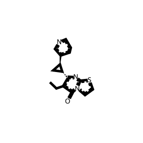 CCc1c([C@@H]2C[C@H]2c2cccnc2)nc2sccn2c1=O